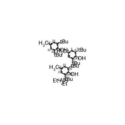 C[CH2][AlH][CH2]C.Cc1cc(C(C)(C)C)c(O)c(C(C)(C)C)c1.Cc1cc(C(C)(C)C)c(O)c(C(C)(C)C)c1.Cc1cc(C(C)(C)C)c(O)c(C(C)(C)C)c1